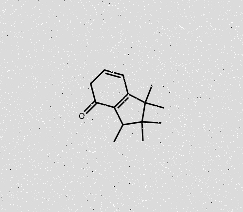 CC1C2=C(C=CCC2=O)C(C)(C)C1(C)C